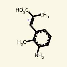 C/C(=C\c1cccc(N)c1C)C(=O)O